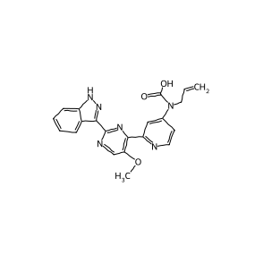 C=CCN(C(=O)O)c1ccnc(-c2nc(-c3n[nH]c4ccccc34)ncc2OC)c1